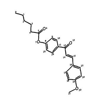 CCCCCC(=O)Oc1ccc(C(=O)C=Cc2ccc(OC)cc2)cc1